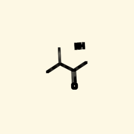 CC(=O)C(C)C.[KH]